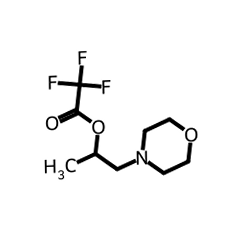 CC(CN1CCOCC1)OC(=O)C(F)(F)F